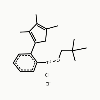 CC1=C(C)C(C)=C(c2cccc[c]2[Ti+2][O]CC(C)(C)C)C1.[Cl-].[Cl-]